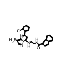 Bc1cnn2c(NCCNC(=O)c3ccc4ccccc4c3)cc(-c3ccccc3Cl)nc12